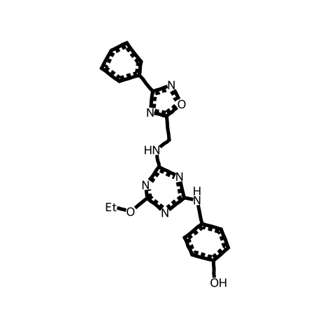 CCOc1nc(NCc2nc(-c3ccccc3)no2)nc(Nc2ccc(O)cc2)n1